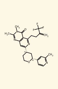 C=C(CCc1nc([C@H]2CCO[C@@H](c3ccnc(C)c3)C2)cc2nc(C)n(C)c(=O)c12)C(F)(F)F